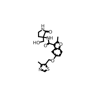 Cc1ncsc1COc1ccc2oc(C)c(C(=O)NC3(CO)CCNC3=O)c2c1